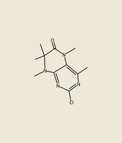 Cc1nc(Cl)nc2c1N(C)C(=O)C(C)(C)N2C